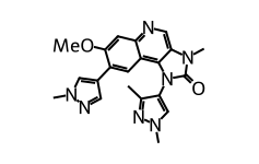 COc1cc2ncc3c(c2cc1-c1cnn(C)c1)n(-c1cn(C)nc1C)c(=O)n3C